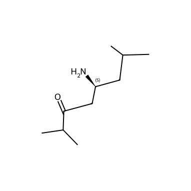 CC(C)C[C@H](N)CC(=O)C(C)C